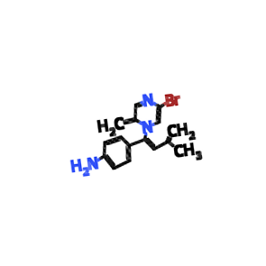 C=C(C)/C=C(/c1ccc(N)cc1)N1C=C(Br)N=CC1=C